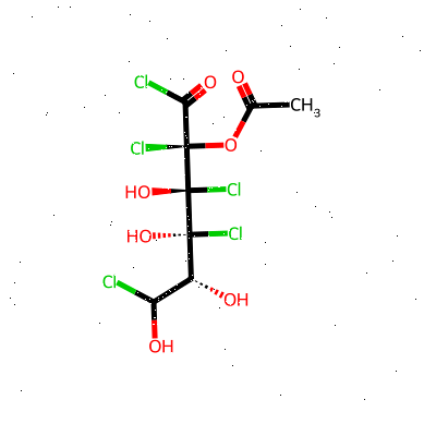 CC(=O)O[C@@](Cl)(C(=O)Cl)[C@](O)(Cl)[C@@](O)(Cl)[C@H](O)C(O)Cl